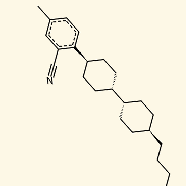 CCCC[C@H]1CC[C@H]([C@H]2CC[C@H](c3ccc(C)cc3C#N)CC2)CC1